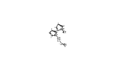 CCOCC.CCn1cccn1.CCn1cccn1